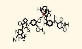 CCc1cc(N2C(=S)N(c3cnc(C#N)c(C(F)(F)F)c3)C(=O)C23CCC3)ccc1OCC[C@@H]1C[C@H]2CC[C@@H](C1)N2CC(=O)Nc1cccc(NC2CCC(=O)NC2=O)c1